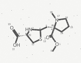 COC(=O)[C@]1(CC2N[C@@H](C(=O)O)CS2)CCCN1C